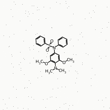 COc1cc(N(c2ccccc2)S(=O)(=O)c2ccccc2)cc(OC)c1N(C)C